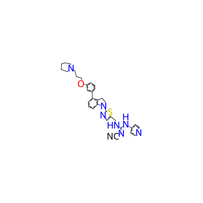 N#C/N=C(\NCc1cnc(N2CCc3c(-c4cccc(OCCCN5CCCCC5)c4)cccc32)s1)Nc1ccncc1